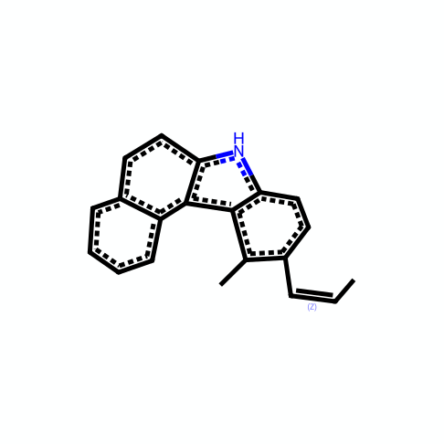 C/C=C\c1ccc2[nH]c3ccc4ccccc4c3c2c1C